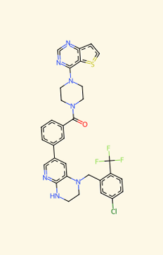 O=C(c1cccc(-c2cnc3c(c2)N(Cc2cc(Cl)ccc2C(F)(F)F)CCN3)c1)N1CCN(c2ncnc3ccsc23)CC1